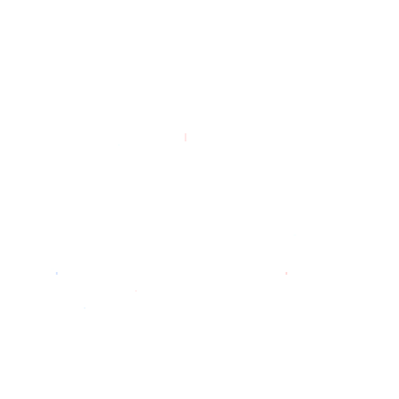 CS(=O)(=O)N1C(=O)SC(=Cc2ccc(Oc3cc(OC4CCN(C(=O)O)CC4)ncn3)cc2)C1=O